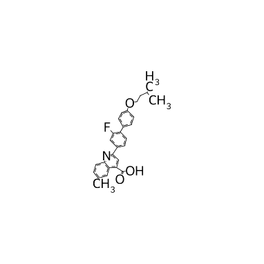 Cc1ccc2nc(-c3ccc(-c4ccc(OCCC(C)C)cc4)c(F)c3)cc(C(=O)O)c2c1